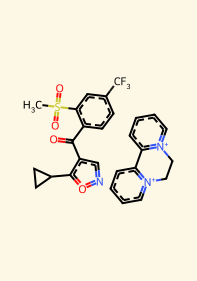 CS(=O)(=O)c1cc(C(F)(F)F)ccc1C(=O)c1cnoc1C1CC1.c1cc[n+]2c(c1)-c1cccc[n+]1CC2